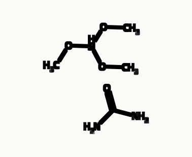 CO[SiH](OC)OC.NC(N)=O